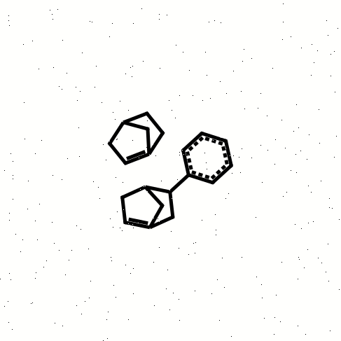 C1=C2CC(C1)C(c1ccccc1)C2.C1=C2CCC(C1)C2